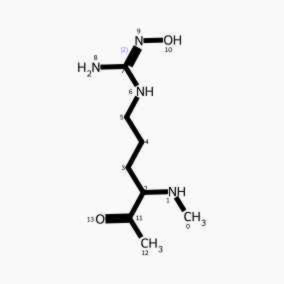 CNC(CCCN/C(N)=N\O)C(C)=O